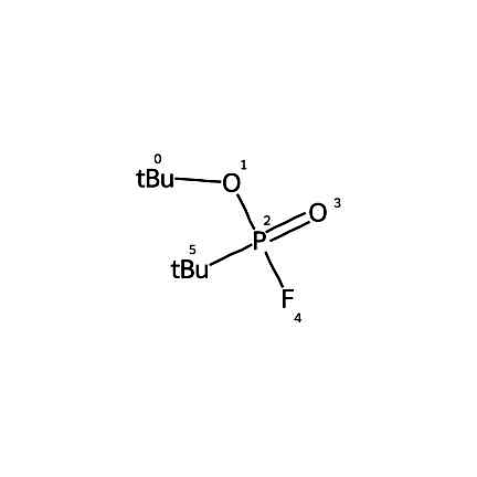 CC(C)(C)OP(=O)(F)C(C)(C)C